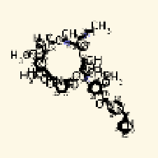 CC/C=C/C[C@@H]1/C=C(\C)C[C@H](C)C[C@H](OC)[C@H]2O[C@@](O)(C(=O)C(=O)N3CCCC[C@H]3C(=O)O[C@H](/C(C)=C/[C@@H]3CC[C@@H](OC(=O)N4CCN(Cc5ccccn5)CC4)[C@H](OC)C3)[C@H](C)[C@@H](O)CC1=O)[C@H](C)C[C@@H]2OC